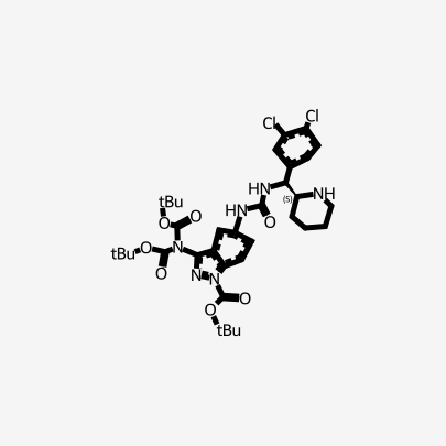 CC(C)(C)OC(=O)N(C(=O)OC(C)(C)C)c1nn(C(=O)OC(C)(C)C)c2ccc(NC(=O)NC(c3ccc(Cl)c(Cl)c3)[C@@H]3CCCCN3)cc12